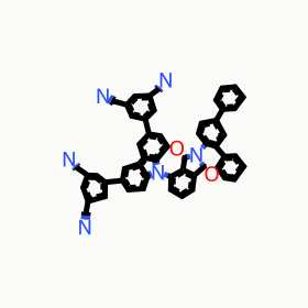 N#Cc1cc(C#N)cc(-c2ccc3c(c2)c2cc(-c4cc(C#N)cc(C#N)c4)ccc2n3-c2cccc3c2C(=O)N(c2ccc(-c4ccccc4)cc2-c2ccccc2)C3=O)c1